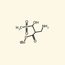 CC(C)(C)OC(=O)C(CN)C(O)S(C)(=O)=O